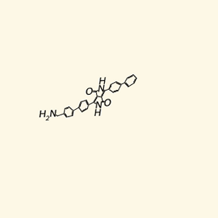 NCc1ccc(-c2ccc(C3=C4C(=O)NC(c5ccc(-c6ccccc6)cc5)=C4C(=O)N3)cc2)cc1